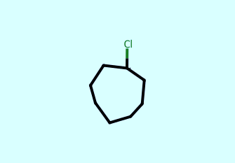 Cl[C]1CCCCCCC1